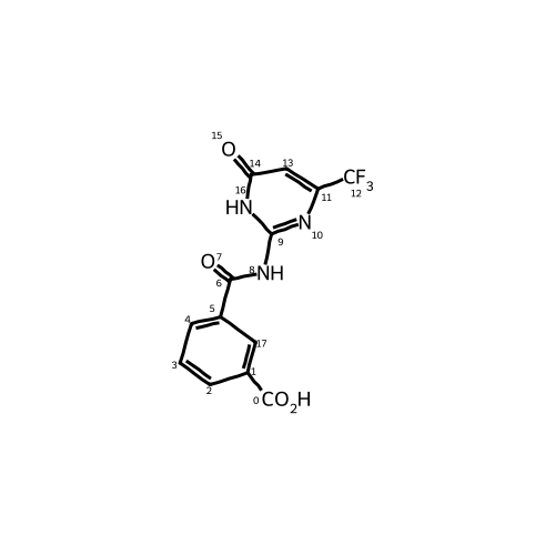 O=C(O)c1cccc(C(=O)Nc2nc(C(F)(F)F)cc(=O)[nH]2)c1